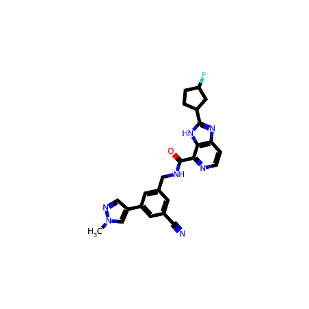 Cn1cc(-c2cc(C#N)cc(CNC(=O)c3nccc4nc(C5CCC(F)C5)[nH]c34)c2)cn1